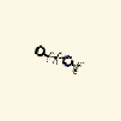 C=C(/C=C\C(=C/C)OC(=O)O[C@H](C)C1=CC=CCC1)[N+](=O)[O-]